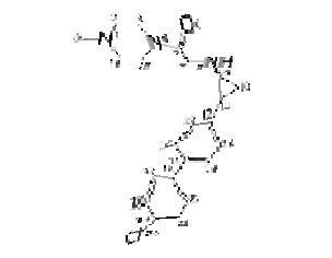 CN1CCN(C(=O)CN[C@H]2CC2c2ccc(-c3ccc(Cl)cc3)cc2)CC1